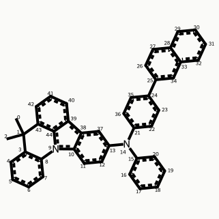 CC1(C)c2ccccc2-n2c3ccc(N(c4ccccc4)c4ccc(-c5ccc6ccccc6c5)cc4)cc3c3cccc1c32